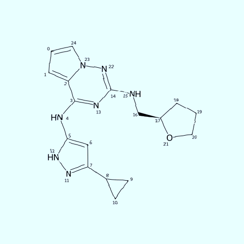 c1cc2c(Nc3cc(C4CC4)n[nH]3)nc(NC[C@H]3CCCO3)nn2c1